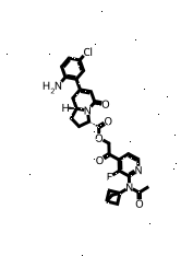 CC(=O)N(c1nccc(C(=O)COC(=O)[C@@H]2CC[C@@H]3CC(c4cc(Cl)ccc4N)=CC(=O)N32)c1F)C12CC(C1)C2